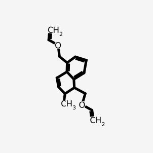 C=COCc1cccc2c1C=CC(C)C2COC=C